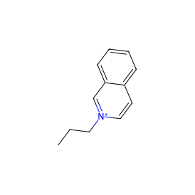 CCC[n+]1ccc2ccccc2c1